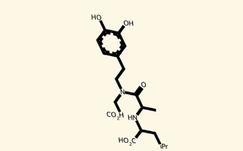 CC(C)CC(NC(C)C(=O)N(CCc1ccc(O)c(O)c1)CC(=O)O)C(=O)O